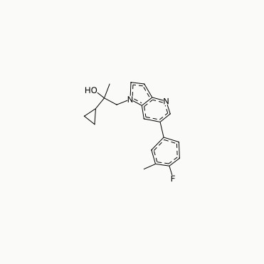 Cc1cc(-c2cnc3ccn(CC(C)(O)C4CC4)c3c2)ccc1F